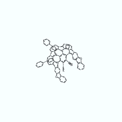 N#Cc1c(C#N)c(-n2c3ccccc3c3cc4oc5ccccc5c4cc32)c(-n2c3ccccc3c3cc(-c4ccccc4)ccc32)c(-n2c3ccccc3c3cc(-c4ccccc4)ccc32)c1-n1c2ccccc2c2cc3oc4ccccc4c3cc21